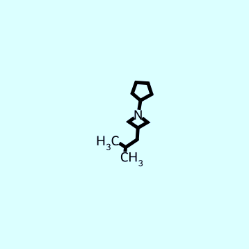 CC(C)CC1CN(C2CCCC2)C1